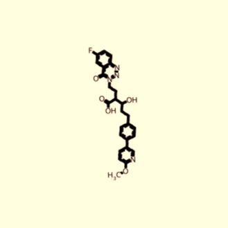 COc1ccc(-c2ccc(CCC(O)C(CCn3nnc4ccc(F)cc4c3=O)C(=O)O)cc2)cn1